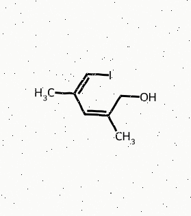 CC(=CI)C=C(C)CO